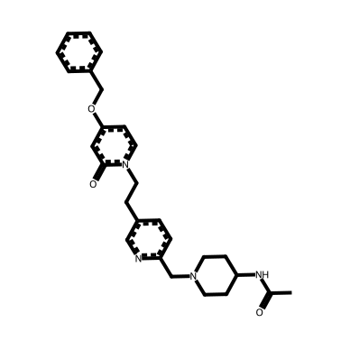 CC(=O)NC1CCN(Cc2ccc(CCn3ccc(OCc4ccccc4)cc3=O)cn2)CC1